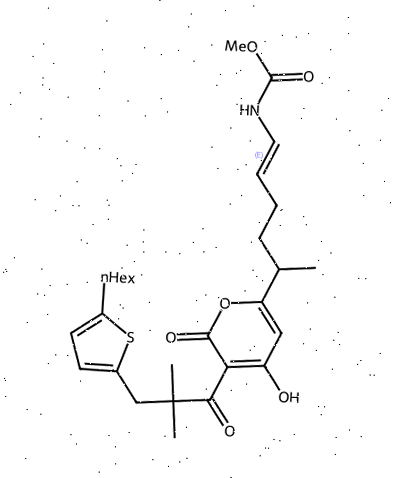 CCCCCCc1ccc(CC(C)(C)C(=O)c2c(O)cc(C(C)CC/C=C/NC(=O)OC)oc2=O)s1